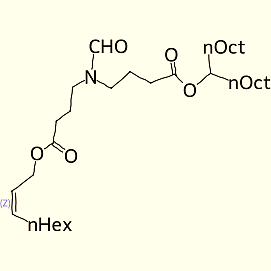 CCCCCC/C=C\COC(=O)CCCN(C=O)CCCC(=O)OC(CCCCCCCC)CCCCCCCC